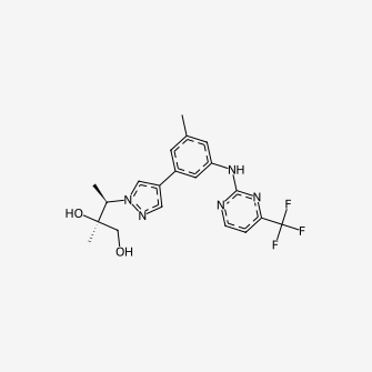 Cc1cc(Nc2nccc(C(F)(F)F)n2)cc(-c2cnn([C@H](C)[C@](C)(O)CO)c2)c1